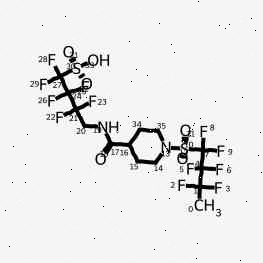 CC(F)(F)C(F)(F)C(F)(F)S(=O)(=O)N1CCC(C(=O)NCC(F)(F)C(F)(F)C(F)(F)S(=O)(=O)O)CC1